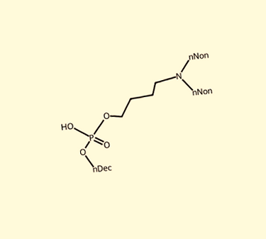 CCCCCCCCCCOP(=O)(O)OCCCCN(CCCCCCCCC)CCCCCCCCC